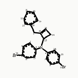 Brc1ccc(N(c2ccc(Br)cc2)C2CC=C2Cc2ccccc2)cc1